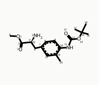 COC(=O)[C@@H](N)Cc1ccc(NC(=O)OC(C)(C)C)c(C)c1